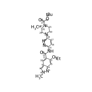 CCOc1cc2nn(C)cc2cc1C(=O)Nc1ccc(N2CCN(C(=O)OC(C)(C)C)[C@@H](C)C2)nn1